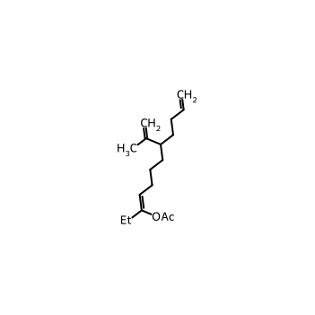 C=CCCC(CCCC=C(CC)OC(C)=O)C(=C)C